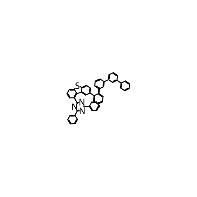 c1ccc(-c2cccc(-c3cccc(-c4ccccc4-c4ccc5sc6cccc(-c7nc(-c8ccccc8)nc(-c8ccccc8)n7)c6c5c4)c3)c2)cc1